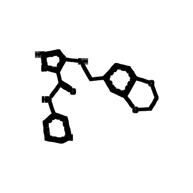 O=C(Nc1cccnc1)c1n[nH]cc1NCc1ccc2c(c1)OCCO2